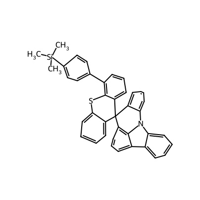 C[Si](C)(C)c1ccc(-c2cccc3c2Sc2ccccc2C32c3ccccc3-n3c4ccccc4c4cccc2c43)cc1